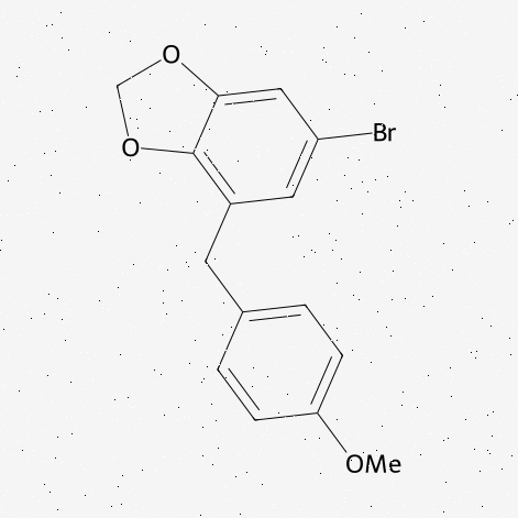 COc1ccc(Cc2cc(Br)cc3c2OCO3)cc1